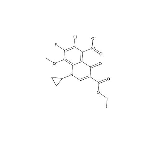 CCOC(=O)c1cn(C2CC2)c2c(OC)c(F)c(Cl)c([N+](=O)[O-])c2c1=O